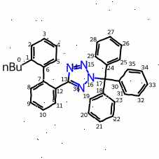 CCCCc1c[c]ccc1-c1ccccc1-c1nnn(C(c2ccccc2)(c2ccccc2)c2ccccc2)n1